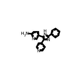 Nc1ccc(-c2[nH]c(-c3ccccc3)nc2-c2ccncc2)cn1